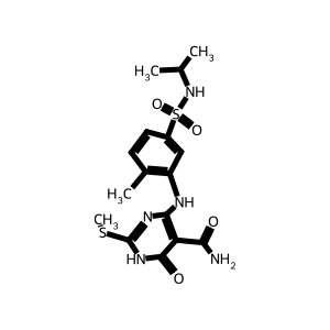 CSc1nc(Nc2cc(S(=O)(=O)NC(C)C)ccc2C)c(C(N)=O)c(=O)[nH]1